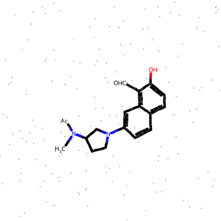 CC(=O)N(C)C1CCN(c2ccc3ccc(O)c(C=O)c3c2)C1